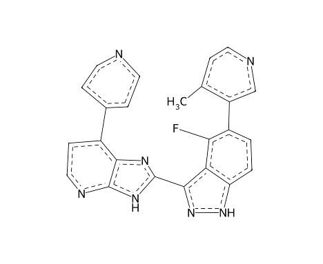 Cc1ccncc1-c1ccc2[nH]nc(-c3nc4c(-c5ccncc5)ccnc4[nH]3)c2c1F